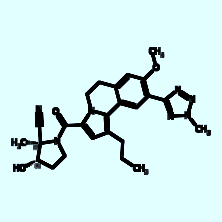 CCCc1cc(C(=O)N2CC[C@H](O)[C@@]2(C)C#N)n2c1-c1cc(-c3nnn(C)n3)c(OC)cc1CC2